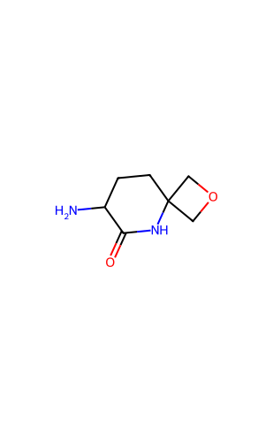 NC1CCC2(COC2)NC1=O